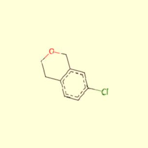 Clc1ccc2c(c1)COCC2